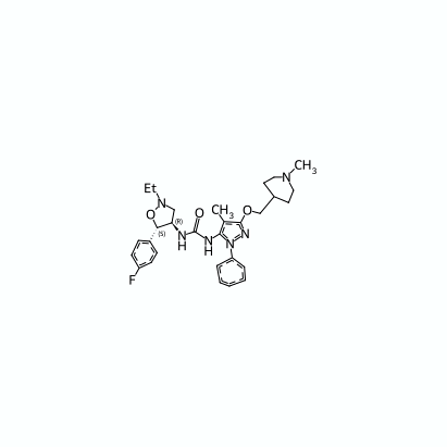 CCN1C[C@@H](NC(=O)Nc2c(C)c(OCC3CCN(C)CC3)nn2-c2ccccc2)[C@H](c2ccc(F)cc2)O1